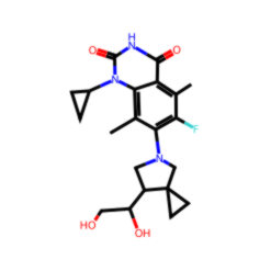 Cc1c(F)c(N2CC(C(O)CO)C3(CC3)C2)c(C)c2c1c(=O)[nH]c(=O)n2C1CC1